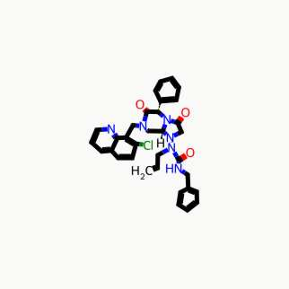 C=CCN(C(=O)NCc1ccccc1)N1CC(=O)N2[C@@H](c3ccccc3)C(=O)N(Cc3c(Cl)ccc4cccnc34)C[C@@H]21